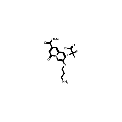 COC(=O)c1cc(=O)n2cc(OCCCN)ccc2c1.O=C(O)C(F)(F)F